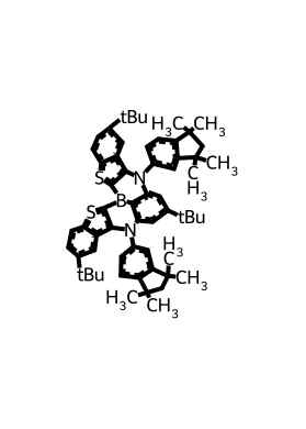 CC(C)(C)c1cc2c3c(c1)N(c1ccc4c(c1)C(C)(C)CC4(C)C)c1c(sc4ccc(C(C)(C)C)cc14)B3c1sc3ccc(C(C)(C)C)cc3c1N2c1ccc2c(c1)C(C)(C)CC2(C)C